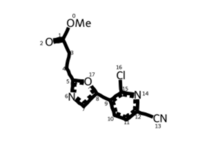 COC(=O)CCc1ncc(-c2ccc(C#N)nc2Cl)o1